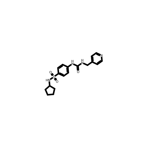 O=C(NCc1ccncc1)Nc1ccc(S(=O)(=O)NC2CCCC2)cc1